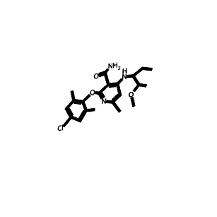 CCC(Nc1cc(C)nc(Oc2c(C)cc(Cl)cc2C)c1C(N)=O)C(C)OC